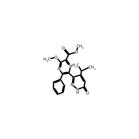 COC(=O)c1nc(-c2n[nH]c(=O)cc2C(C)C)c(-c2ccccc2)nc1OC